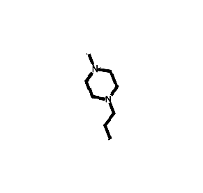 [CH2]N1CCN(CCC)CC1